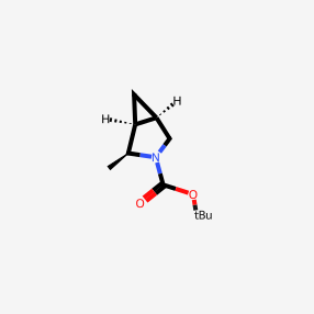 C[C@H]1[C@H]2C[C@H]2CN1C(=O)OC(C)(C)C